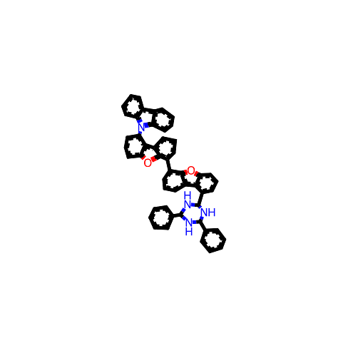 c1ccc(C2NC(c3ccccc3)NC(c3cccc4oc5c(-c6cccc7c6oc6cccc(-n8c9ccccc9c9ccccc98)c67)cccc5c34)N2)cc1